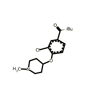 CC[C@@H](C)C(=O)c1ccc(OC2CCN(C)CC2)c(Cl)c1